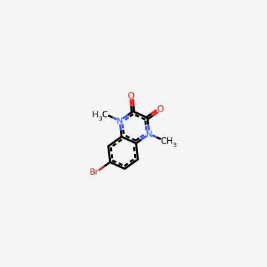 Cn1c(=O)c(=O)n(C)c2cc(Br)ccc21